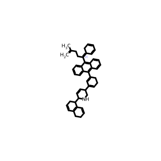 C=C(C)CC/C(=C1/C=CC=CC1)c1c2ccccc2c(C2=CC(C3C=CC(C4CC=CC5=C4C=CCC5)NC3)=CCC2)c2ccccc12